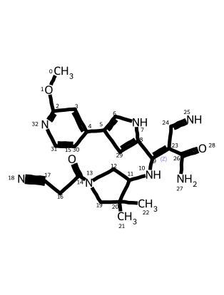 COc1cc(-c2c[nH]c(/C(NC3CN(C(=O)CC#N)CC3(C)C)=C(\C=N)C(N)=O)c2)ccn1